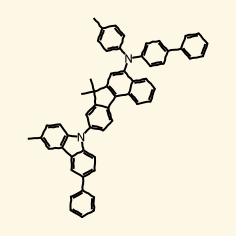 Cc1ccc(N(c2ccc(-c3ccccc3)cc2)c2cc3c(c4ccccc24)-c2ccc(-n4c5ccc(C)cc5c5cc(-c6ccccc6)ccc54)cc2C3(C)C)cc1